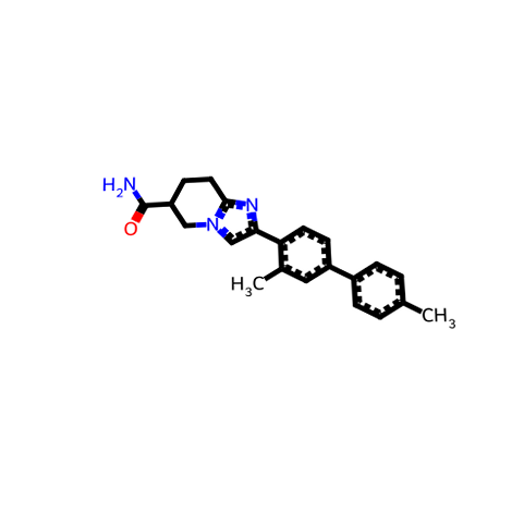 Cc1ccc(-c2ccc(-c3cn4c(n3)CCC(C(N)=O)C4)c(C)c2)cc1